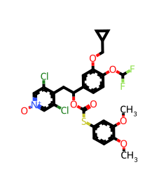 COc1ccc(SC(=O)OC(Cc2c(Cl)c[n+]([O-])cc2Cl)c2ccc(OC(F)F)c(OCC3CC3)c2)cc1OC